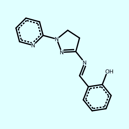 Oc1ccccc1C=NC1=NN(c2ccccn2)CC1